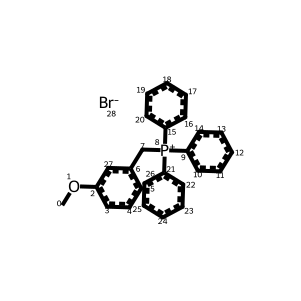 COc1cccc(C[P+](c2ccccc2)(c2ccccc2)c2ccccc2)c1.[Br-]